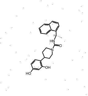 C[C@H](NC(=O)N1CCC(c2ccc(O)cc2O)CC1)c1cccc2ccccc12